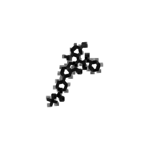 COc1ccc(Cl)cc1C(c1nc2ccccc2[nH]1)N1Cc2ccc(C3=CCN(C(=O)OC(C)(C)C)CC3)cc2C1=O